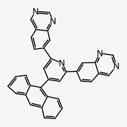 c1ccc2c(-c3cc(-c4ccc5cncnc5c4)nc(-c4ccc5cncnc5c4)c3)c3ccccc3cc2c1